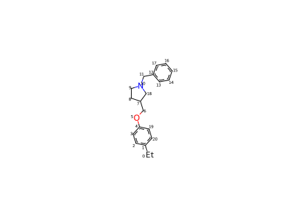 CCc1ccc(OCC2CCN(Cc3ccccc3)C2)cc1